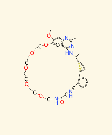 COc1cc2nc(C)nc3c2cc1OCCOCCOCCOCCOCCNC(=O)CNCc1ccccc1-c1ccc(s1)C(C)N3